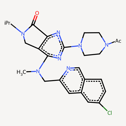 CC(=O)N1CCN(c2nc3c(c(N(C)Cc4cc5cc(Cl)ccc5cn4)n2)CN(C(C)C)C3=O)CC1